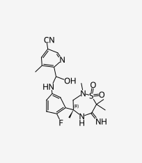 Cc1cc(C#N)cnc1C(O)Nc1ccc(F)c([C@]2(C)CN(C)S(=O)(=O)C(C)(C)C(=N)N2)c1